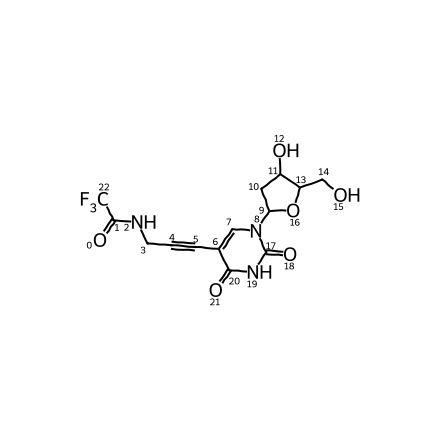 O=C(NCC#Cc1cn(C2CC(O)C(CO)O2)c(=O)[nH]c1=O)C(F)(F)F